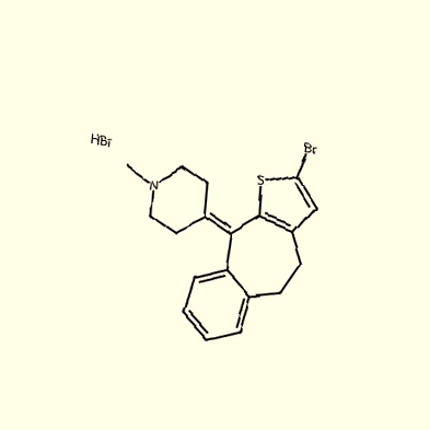 Br.CN1CCC(=C2c3ccccc3CCc3cc(Br)sc32)CC1